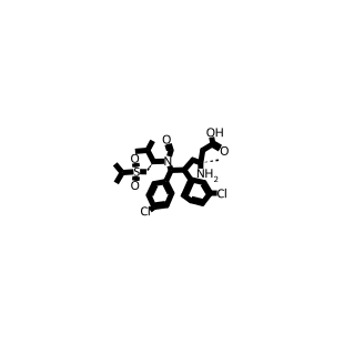 CC(C)[C@@H](CS(=O)(=O)C(C)C)N(C=O)C(c1ccc(Cl)cc1)C(C[C@](C)(N)CC(=O)O)c1cccc(Cl)c1